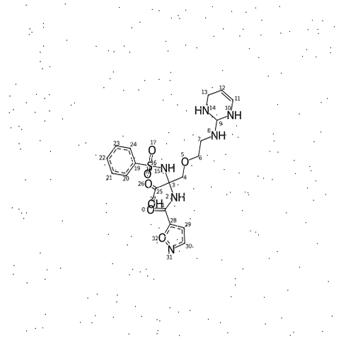 O=C(NC(COCCNC1NC=CCN1)(NS(=O)(=O)c1ccccc1)C(=O)O)c1ccno1